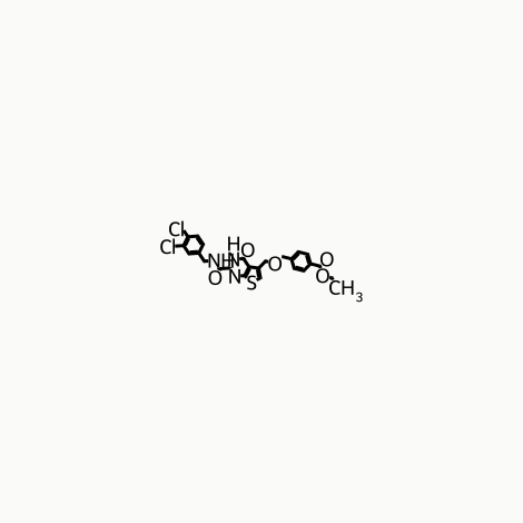 CCOC(=O)c1ccc(COCc2csc3nc(C(=O)NCc4ccc(Cl)c(Cl)c4)[nH]c(=O)c23)cc1